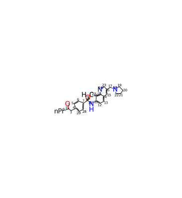 CCCC(=O)Cc1ccc(C(=O)Nc2ccc3cc(CN4CCCC4)cnc3c2C)cc1